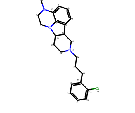 CN1CCN2c3c(cccc31)C1CN(CCCc3ccccc3Cl)CCC12